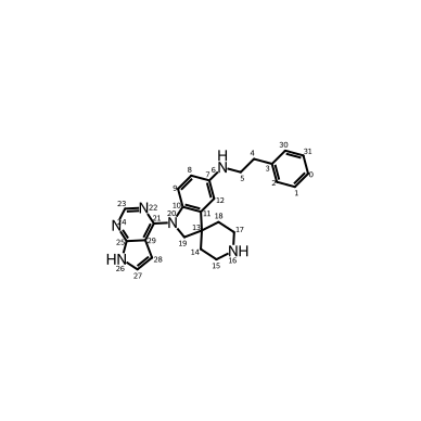 c1ccc(CCNc2ccc3c(c2)C2(CCNCC2)CN3c2ncnc3[nH]ccc23)cc1